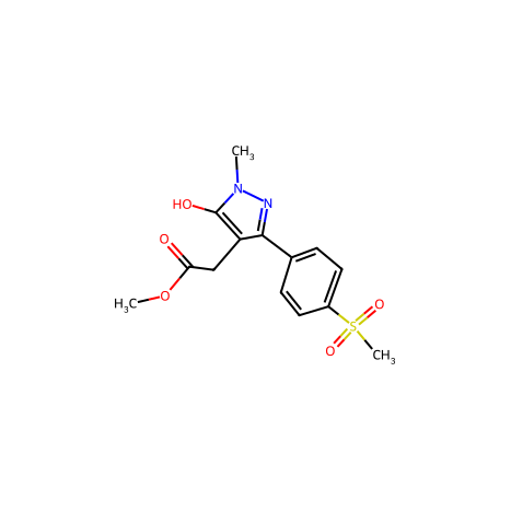 COC(=O)Cc1c(-c2ccc(S(C)(=O)=O)cc2)nn(C)c1O